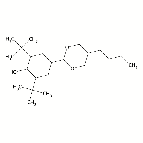 CCCCC1COC(C2CC(C(C)(C)C)C(O)C(C(C)(C)C)C2)OC1